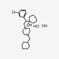 Cl.Cl.OC1(C(CN2CCN(CC3CCCCC3)CC2)c2cccc(Cl)c2)CCCCC1